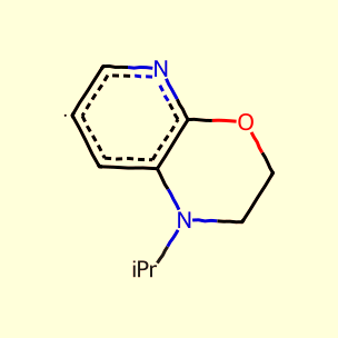 CC(C)N1CCOc2nc[c]cc21